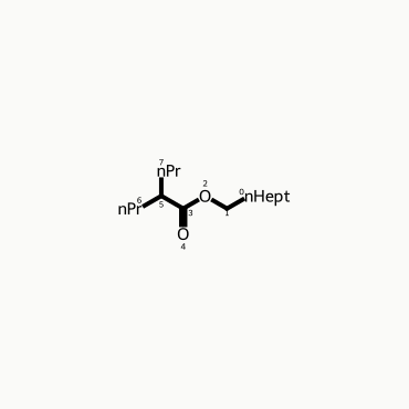 CCCCCCCCOC(=O)C(CCC)CCC